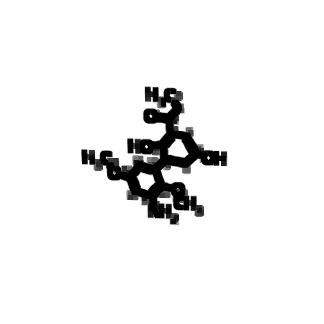 CCC(=O)c1cc(O)cc(-c2cc(OC)cc(N)c2OC)c1O